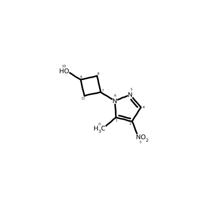 Cc1c([N+](=O)[O-])cnn1C1CC(O)C1